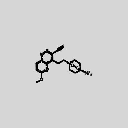 COc1ccc2nnc(C#N)c(CCC34CCC(N)(CC3)CO4)c2n1